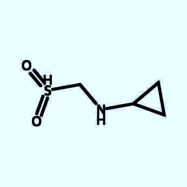 O=[SH](=O)CNC1CC1